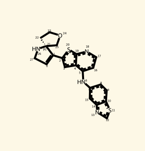 C1=C(c2cc3c(Nc4ccc5scnc5c4)ccnc3s2)[C@@]2(CCOC2)NC1